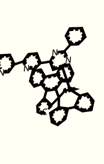 c1ccc(-c2nc(-c3ccc(-c4cccnc4)nc3)cc(-c3ccc4c(c3)C3(c5ccccc5-c5ccccc5-4)c4ccccc4-c4c3c3ccccc3c3ccccc43)n2)cc1